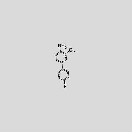 COc1cc(-c2ccc(F)cc2)ccc1N